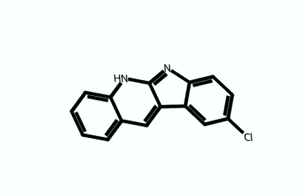 Clc1ccc2nc3[nH]c4ccccc4cc-3c2c1